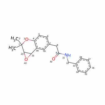 CC1(C)Oc2ccc(CC(=O)NCc3ccccc3)cc2C2OC21